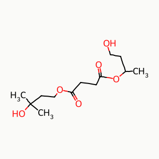 CC(CCO)OC(=O)CCC(=O)OCCC(C)(C)O